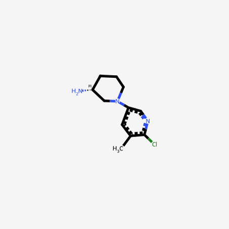 Cc1cc(N2CCC[C@@H](N)C2)cnc1Cl